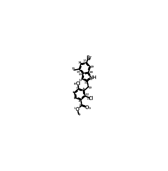 COC(=O)c1ccc(Cl)c(Cc2cc3c(C)cc(Br)cc3[nH]2)c1Cl